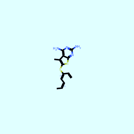 C=C/C(=C\C=C/C)Sc1sc2nc(N)nc(N)c2c1C